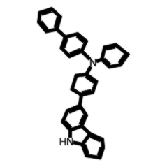 C1=C(c2ccc3[nH]c4ccccc4c3c2)CCC(N(c2ccccc2)c2ccc(-c3ccccc3)cc2)=C1